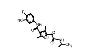 Cc1[nH]c(C(=O)C(=O)NC(C)C(F)(F)F)c(C)c1C(=O)Nc1ccc(F)c(C#N)c1